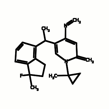 C=NC1=CC(=C)N(C2(C)CC2)C=C1C(C)c1cccc2c1CCC2(C)F